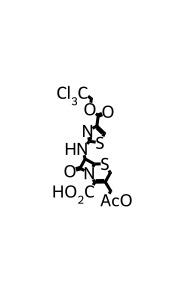 CC(=O)OCC1=C(C(=O)O)N2C(=O)C(Nc3nc(C(=O)OCC(Cl)(Cl)Cl)cs3)C2SC1